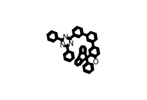 C1=CC(c2ccc3c(c2)C2(c4ccccc4O3)c3ccccc3-c3ccccc32)=CC(c2cccc(-c3nc(-c4ccccc4)nc(-c4ccccc4)n3)c2)C1